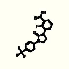 O=C(O)c1cccc(N2CCN(c3ccc(C(F)(F)F)cc3)C2=O)c1F